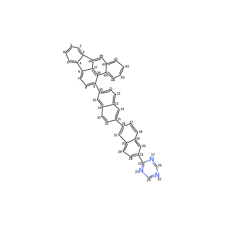 c1ccc2c(c1)-c1ccc(-c3ccc4cc(-c5ccc6cc(-c7ncncn7)ccc6c5)ccc4c3)c3c1c-2cc1ccccc13